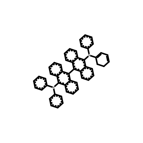 C1=CCCC(N(c2ccccc2)c2c3ccccc3c(-c3c4ccccc4c(N(c4ccccc4)c4ccccc4)c4ccccc34)c3ccccc23)=C1